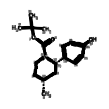 C[C@@H]1CCN(C(=O)OC(C)(C)C)[C@H](c2ccc(O)cc2)C1